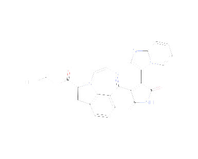 CCOC(=O)C1Cc2cccc3c2N1C=CN=C3C1=C(c2cnc3ccccn23)C(=O)NC1=O